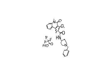 COc1c(C(=O)NC2CCN(Cc3ccccc3)CC2)sc2c1c(=O)n(C)c1ccccc21.O=C(O)C(F)(F)F